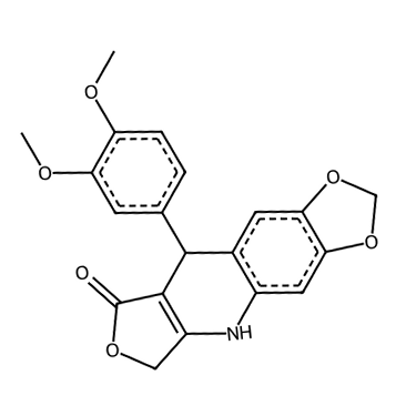 COc1ccc(C2C3=C(COC3=O)Nc3cc4c(cc32)OCO4)cc1OC